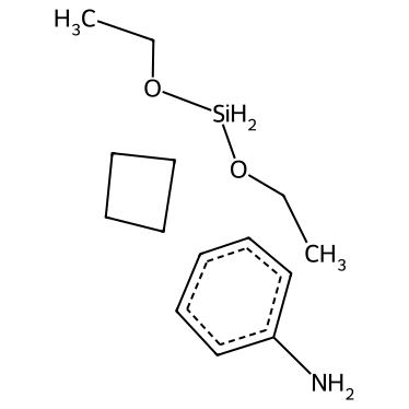 C1CCC1.CCO[SiH2]OCC.Nc1ccccc1